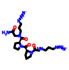 [N-]=[N+]=NCCCNCC(=O)N1CCC[C@H]1C(=O)N1CCC[C@H]1C(=O)N(CCCN=[N+]=[N-])CC(N)=O